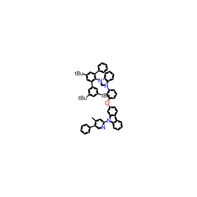 Cc1cc(-n2c3ccccc3c3ccc(Oc4cccc(-n5c[n+](-c6c(-c7ccccc7)cc(C(C)(C)C)cc6-c6cc(C(C)(C)C)cc(C(C)(C)C)c6)c6ccccc65)c4)cc32)ncc1-c1ccccc1